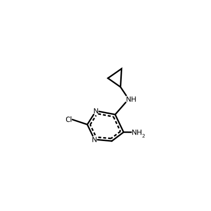 Nc1cnc(Cl)nc1NC1CC1